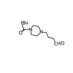 CC(C)(C)C(=O)N1CCN(CCCC=O)CC1